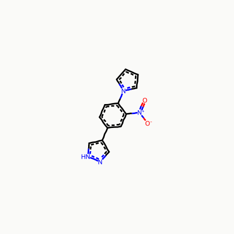 O=[N+]([O-])c1cc(-c2cn[nH]c2)ccc1-n1cccc1